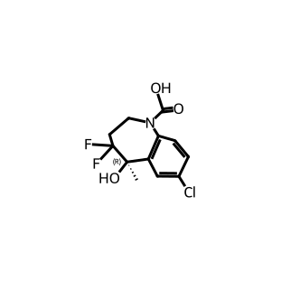 C[C@@]1(O)c2cc(Cl)ccc2N(C(=O)O)CCC1(F)F